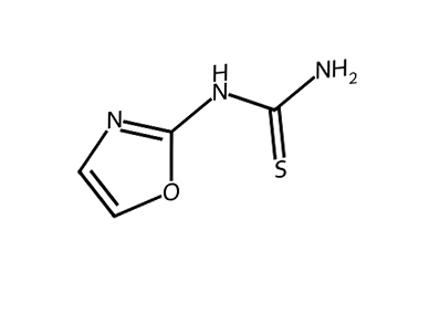 NC(=S)Nc1ncco1